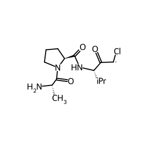 CC(C)[C@H](NC(=O)[C@@H]1CCCN1C(=O)[C@H](C)N)C(=O)[CH]Cl